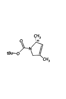 CC1=C[C@@H](C)N(C(=O)OC(C)(C)C)C1